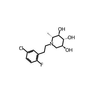 C[C@@H]1[C@@H](O)[C@H](O)[C@@H](O)CN1CCc1cc(Cl)ccc1F